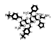 CC(c1ccccc1)N(CC(=O)N(CC(=O)N(CC(N)=O)Cc1ccc(C(F)(F)F)cc1)Cc1ccc(C(F)(F)F)cc1)C(=O)CN(C(O)CN)C1CCCC1